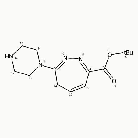 CC(C)(C)OC(=O)C1=NN=C(N2CCNCC2)CC=C1